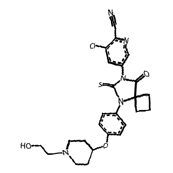 N#Cc1ncc(N2C(=O)C3(CCC3)N(c3ccc(OC4CCN(CCO)CC4)cc3)C2=S)cc1Cl